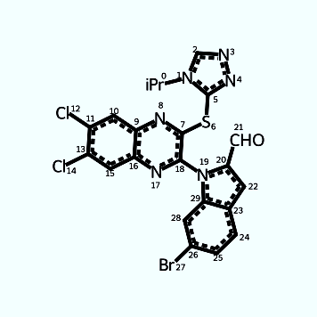 CC(C)n1cnnc1Sc1nc2cc(Cl)c(Cl)cc2nc1-n1c(C=O)cc2ccc(Br)cc21